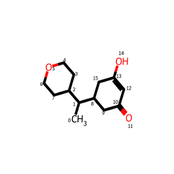 CC(C1CCOCC1)C1CC(=O)C=C(O)C1